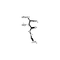 C=CCOC(=O)[C@H](O)[C@H](N)CCCCC